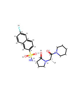 C[C@@H](C(=O)N1CCCCC1)N1CC[C@H](NS(=O)(=O)c2ccc3cc(F)ccc3c2)C1=O